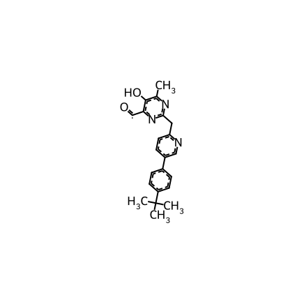 Cc1nc(Cc2ccc(-c3ccc(C(C)(C)C)cc3)cn2)nc([C]=O)c1O